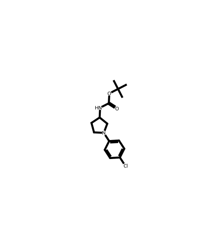 CC(C)(C)OC(=O)NC1CCN(c2ccc(Cl)cc2)C1